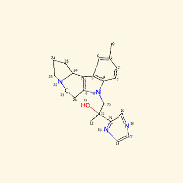 Cc1ccc2c(c1)c1c(n2CC(C)(O)c2cnccn2)CCN2CCCC12